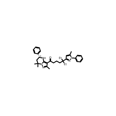 CCC(CC)(CCCC(=O)c1c(C)nn2c1N[C@@H](c1ccccc1)CC2(C)C)c1cc(C)n(-c2ccccc2)n1